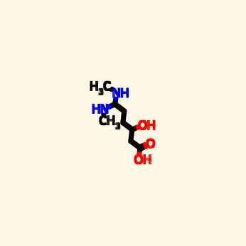 CNC(CCC(O)CC(=O)O)NC